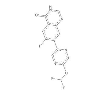 O=c1[nH]cnc2cc(-c3cnc(OC(F)F)cn3)c(F)cc12